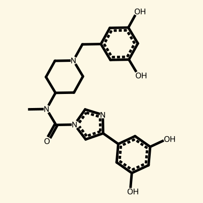 CN(C(=O)n1cnc(-c2cc(O)cc(O)c2)c1)C1CCN(Cc2cc(O)cc(O)c2)CC1